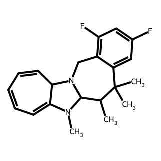 CC1C2N(C)C3=CC=CC=CC3N2Cc2c(F)cc(F)cc2C1(C)C